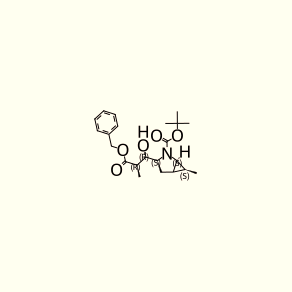 C[C@@H](C(=O)OCc1ccccc1)[C@@H](O)[C@@H]1CC2[C@H]([C@H]2C)N1C(=O)OC(C)(C)C